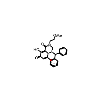 [C-]#[N+]Cc1cc(=O)c(O)c2n1N(C(c1ccccc1)c1ccccc1)CN(CCOC)C2=O